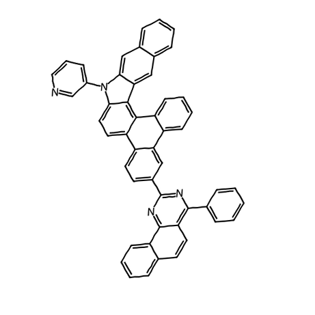 c1ccc(-c2nc(-c3ccc4c(c3)c3ccccc3c3c4ccc4c3c3cc5ccccc5cc3n4-c3cccnc3)nc3c2ccc2ccccc23)cc1